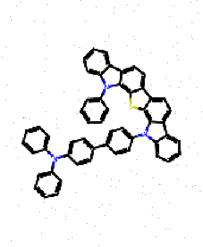 c1ccc(N(c2ccccc2)c2ccc(-c3ccc(-n4c5ccccc5c5ccc6c7ccc8c9ccccc9n(-c9ccccc9)c8c7sc6c54)cc3)cc2)cc1